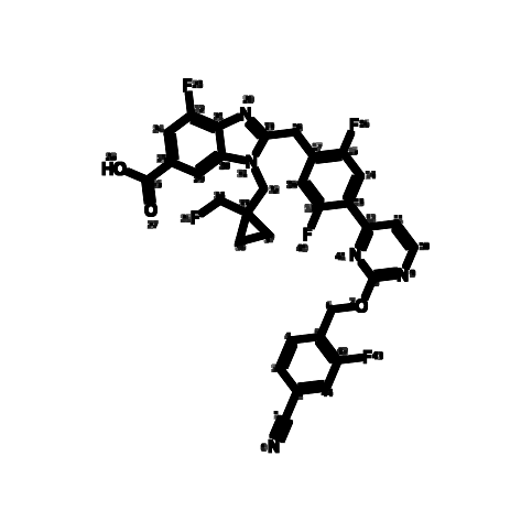 N#Cc1ccc(COc2nccc(-c3cc(F)c(Cc4nc5c(F)cc(C(=O)O)cc5n4CC4(CF)CC4)cc3F)n2)c(F)c1